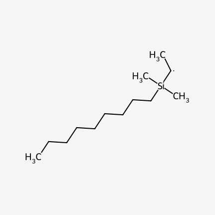 C[CH][Si](C)(C)CCCCCCCCC